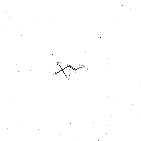 C/C=C/C(F)(F)I